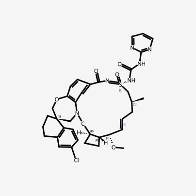 CO[C@H]1/C=C/C[C@H](C)C[S@@](=O)(NC(=O)Nc2ncccn2)=NC(=O)c2ccc3c(c2)N(C[C@@H]2CC[C@H]21)C[C@@]1(CCCc2cc(Cl)ccc21)CO3